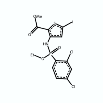 CCOP(=O)(Nc1cc(I)sc1C(=O)OC)c1ccc(Cl)cc1Cl